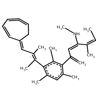 C=C(/C=C(NC)\C(C)=C/C)c1c(C)cc(C)c(/C(C)=C(C)/C=C2/C=CC=C=CC2)c1C